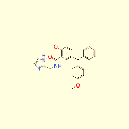 COc1ccc([C](c2ccccc2)c2ccc(OC)c(C(=O)NC(C)c3ncc[nH]3)c2)cc1